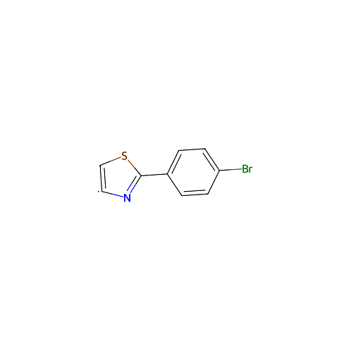 Brc1ccc(-c2n[c]cs2)cc1